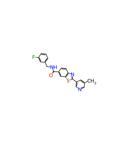 Cc1cncc(-c2nc3ccc(C(=O)NCc4cccc(F)c4)cc3s2)c1